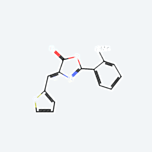 COc1ccccc1C1=N/C(=C\c2cccs2)C(=O)O1